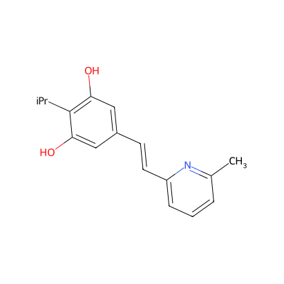 Cc1cccc(C=Cc2cc(O)c(C(C)C)c(O)c2)n1